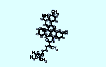 C=C(CCCO[Si](C)(C)C)C(=O)/N=c1/c2ccc(Cl)cc2nc(C(C(C)C)N(CCCN)C(=O)c2ccc(C)cc2)n1Cc1ccccc1